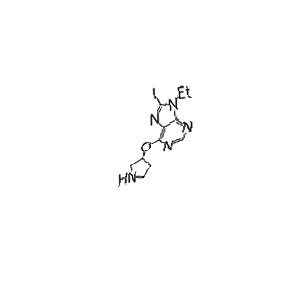 CCn1c(I)nc2c(O[C@H]3CCNC3)ncnc21